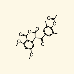 COc1cc(OC)c2c(c1)C(C(=O)c1cc(C)c(OC(C)=O)c(C)c1)C(=O)OC2=O